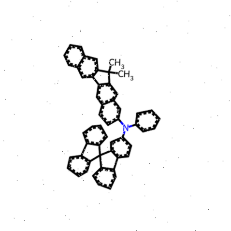 CC1(C)c2cc3ccccc3cc2-c2cc3ccc(N(c4ccccc4)c4ccc5c(c4)C4(c6ccccc6-c6ccccc64)c4ccccc4-5)cc3cc21